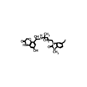 Cn1c(=O)n(CCCC(C)(C)NCC(O)c2cc(O)cc3c2OCC(=O)N3)c2cc(F)ccc21